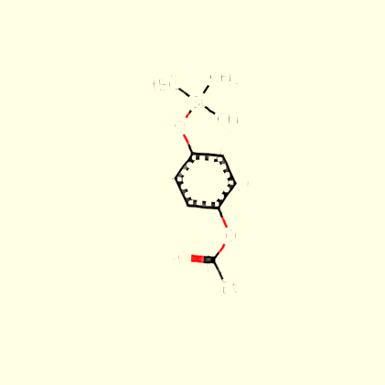 CCC(=O)Oc1ccc(O[Si](C)(C)C(C)(C)C)cc1